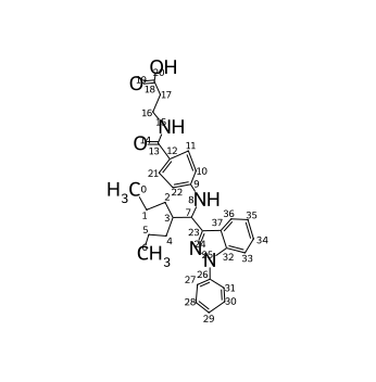 CCCC(CCC)C(Nc1ccc(C(=O)NCCC(=O)O)cc1)c1nn(-c2ccccc2)c2ccccc12